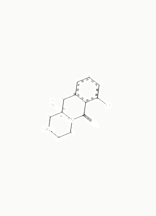 O=C1c2c(Cl)cccc2C[C@@H]2CNCCN12